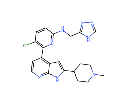 CN1CCC(c2cc3c(-c4nc(NCc5nnc[nH]5)ccc4Cl)ccnc3[nH]2)CC1